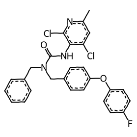 Cc1cc(Cl)c(NC(=O)N(Cc2ccccc2)Cc2ccc(Oc3ccc(F)cc3)cc2)c(Cl)n1